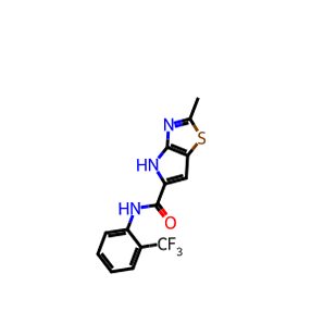 Cc1nc2[nH]c(C(=O)Nc3ccccc3C(F)(F)F)cc2s1